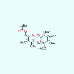 CC(=O)OC[C@H]1O[C@H](O[C@H]2O[C@H](COC(=O)C(C)(C)C)[C@@H](OC(C)=O)[C@H](OC(C)=O)[C@H]2OC(C)=O)[C@H](OC(C)=O)[C@@H](OC(C)=O)[C@@H]1OC(C)=O